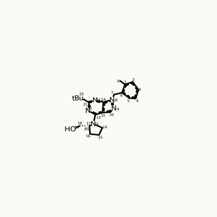 Cc1ccccc1Cn1ncc2c(N3CCC[C@@H]3CO)nc(C(C)(C)C)nc21